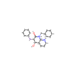 O=c1c([I+]c2ccccc2)c([O-])c2cccnc2n1Cc1ccccc1